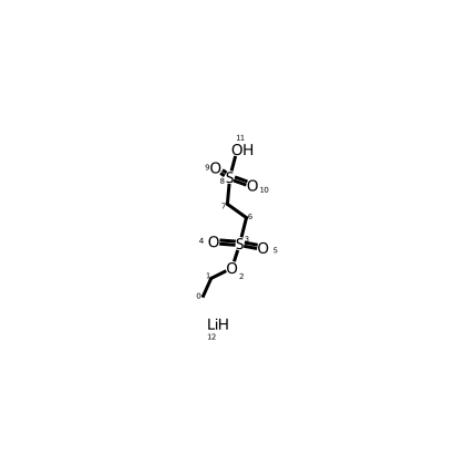 CCOS(=O)(=O)CCS(=O)(=O)O.[LiH]